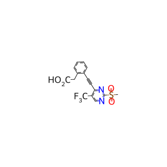 CS(=O)(=O)c1ncc(C(F)(F)F)c(C#Cc2ccccc2CC(=O)O)n1